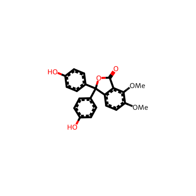 COc1ccc2c(c1OC)C(=O)OC2(c1ccc(O)cc1)c1ccc(O)cc1